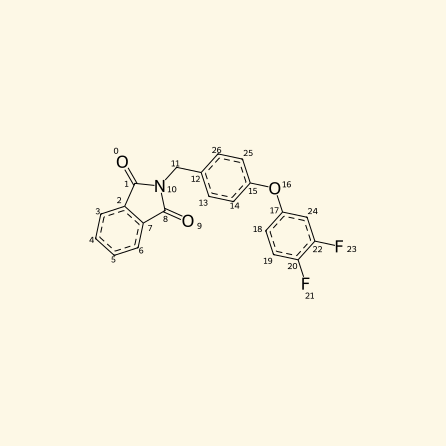 O=C1c2ccccc2C(=O)N1Cc1ccc(Oc2ccc(F)c(F)c2)cc1